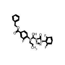 CCCN(c1ccc(C(=O)OCc2ccccc2)cc1F)C(O)n1nnn(-c2c(F)cccc2F)c1=O